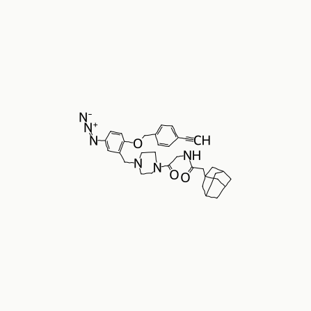 C#Cc1ccc(COc2ccc(N=[N+]=[N-])cc2CN2CCN(C(=O)CNC(=O)CC34CC5CC(CC(C5)C3)C4)CC2)cc1